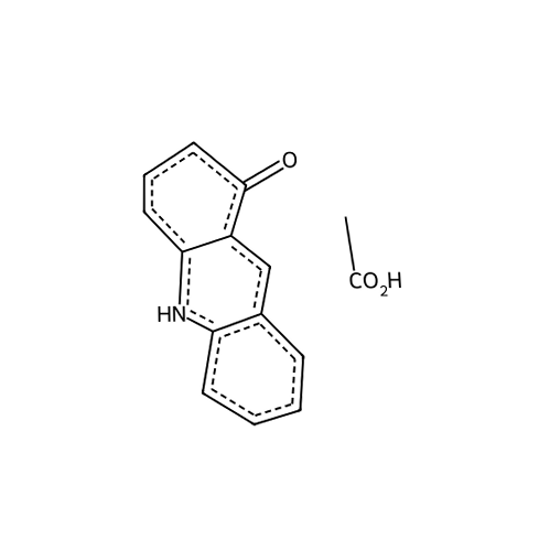 CC(=O)O.O=c1cccc2[nH]c3ccccc3cc1-2